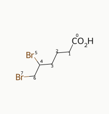 O=C(O)CCCC(Br)CBr